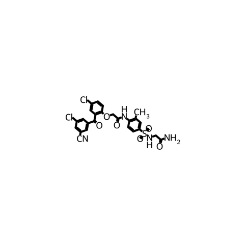 Cc1cc(S(=O)(=O)NCC(N)=O)ccc1NC(=O)COc1ccc(Cl)cc1C(=O)c1cc(Cl)cc(C#N)c1